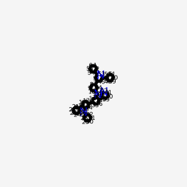 c1ccc(-c2cc(-c3cccc(-n4c5cc(-c6ccc7c8ccccc8n(-c8ccccc8)c7c6)ccc5c5cccnc54)c3)cc(-c3ccccc3)n2)cc1